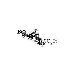 CCOC(=O)c1cnn2ccc(N[C@H](C)c3c(F)c(F)cc4c3OC(C)(CNC(=O)OC(C)(C)C)C4)nc12